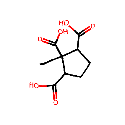 CC1(C(=O)O)C(C(=O)O)CCC1C(=O)O